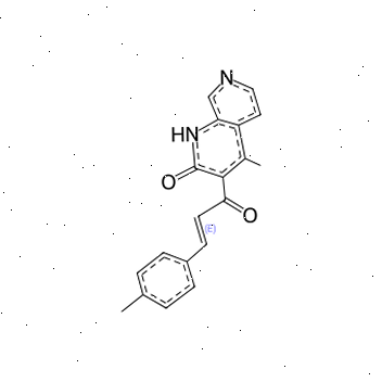 Cc1ccc(/C=C/C(=O)c2c(C)c3ccncc3[nH]c2=O)cc1